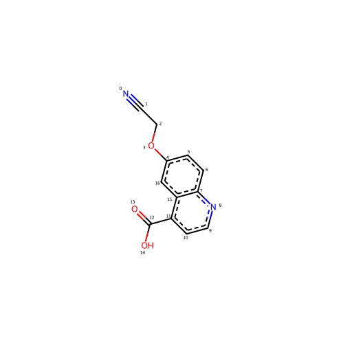 N#CCOc1ccc2nccc(C(=O)O)c2c1